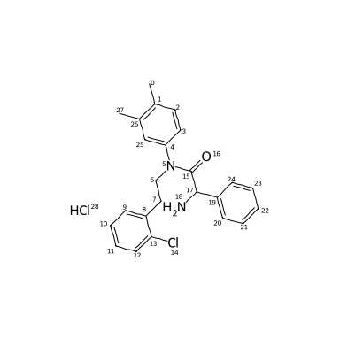 Cc1ccc(N(CCc2ccccc2Cl)C(=O)C(N)c2ccccc2)cc1C.Cl